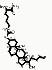 CNC(CCCCNC(=O)OC1CCC2(C)C(=CCC3C2CCC2(C)C(C(C)CCCC(C)C)CCC32)C1)C(N)=O